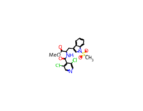 COC(=O)C(Cc1cn(S(C)(=O)=O)c2ccccc12)NC(=O)c1c(Cl)cncc1Cl